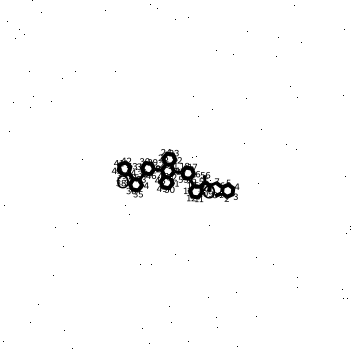 C=c1cccc/c1=C/c1oc2cccc(-c3cccc(-c4c5ccccc5c(-c5cccc(-c6cccc7oc8ccccc8c67)c5)c5ccccc45)c3)c2c1C